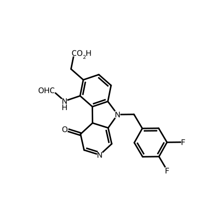 O=CNc1c(CC(=O)O)ccc2c1C1C(=O)C=NC=C1N2Cc1ccc(F)c(F)c1